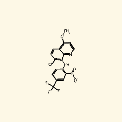 COc1ccnc2c(Nc3ccc(C(F)(F)F)cc3[N+](=O)[O-])c(Cl)ccc12